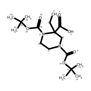 CCC1(C(=O)O)CN(C(=O)OC(C)(C)C)CCN1C(=O)OC(C)(C)C